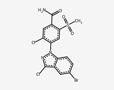 CS(=O)(=O)c1cc(-n2nc(Cl)c3cc(Br)ccc32)c(Cl)cc1C(N)=O